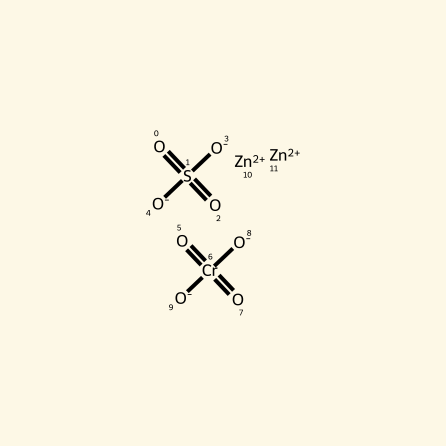 O=S(=O)([O-])[O-].[O]=[Cr](=[O])([O-])[O-].[Zn+2].[Zn+2]